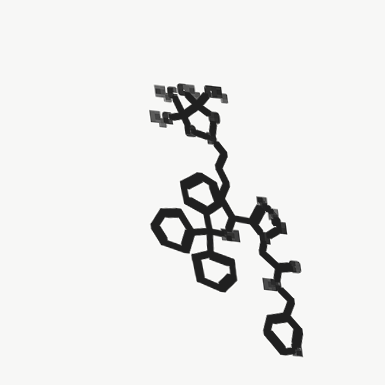 CC1(C)OB(CCCCC(NC(c2ccccc2)(c2ccccc2)c2ccccc2)c2nnnn2CC(=O)NCc2cccnc2)OC1(C)C